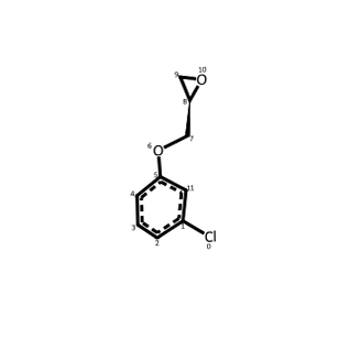 Clc1cccc(OC[C@H]2CO2)c1